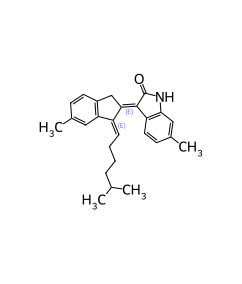 Cc1ccc2c(c1)NC(=O)/C2=C1\Cc2ccc(C)cc2\C1=C/CCCC(C)C